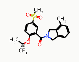 Cc1cccc2c1CN(C(=O)c1cc(S(C)(=O)=O)ccc1O[C@@H](C)C(F)(F)F)C2